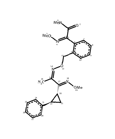 CNC(=O)C(=NOC)c1ccccc1CON=C(C)C(=NOC)[C@@H]1C[C@H]1c1ccccc1